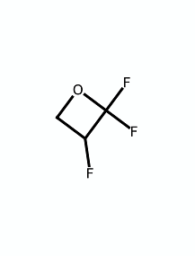 FC1COC1(F)F